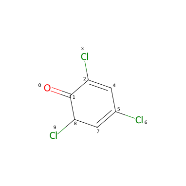 O=C1C(Cl)=CC(Cl)=CC1Cl